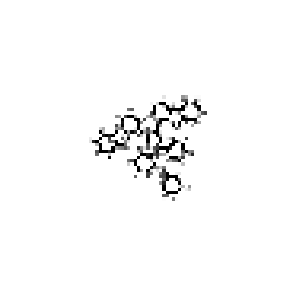 C1=C(c2cccc3c2oc2ccccc23)C(c2cccc3c2oc2ccccc23)=CS12c1ccccc1B(c1ccccc1)c1ccccc12